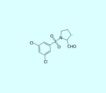 O=CC1[CH]CCN1S(=O)(=O)c1cc(Cl)cc(Cl)c1